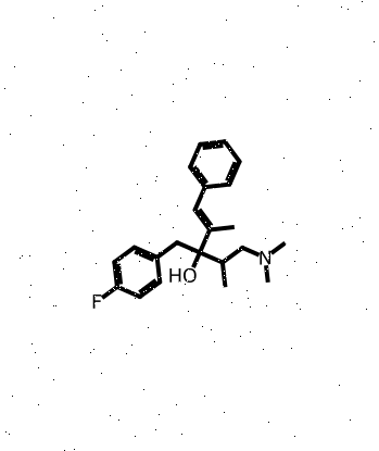 CC(=Cc1ccccc1)C(O)(Cc1ccc(F)cc1)C(C)CN(C)C